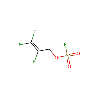 O=S(=O)(F)OCC(F)=C(F)F